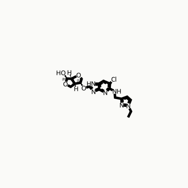 CCn1ccc(CNc2nc3nc(O[C@@H]4CO[C@H]5[C@@H]4CO[C@H]5O)[nH]c3cc2Cl)n1